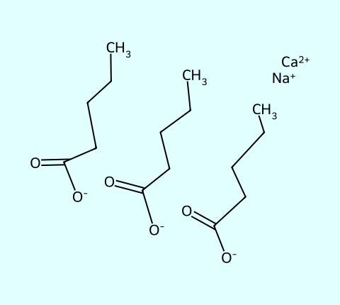 CCCCC(=O)[O-].CCCCC(=O)[O-].CCCCC(=O)[O-].[Ca+2].[Na+]